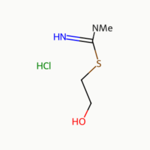 CNC(=N)SCCO.Cl